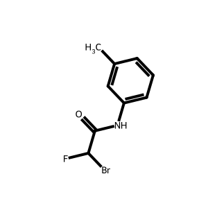 Cc1cccc(NC(=O)C(F)Br)c1